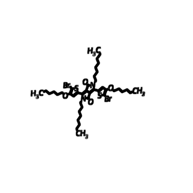 CCCCCCCCN1C(=O)C2=C(c3cc(OCCCCCC)c(Br)s3)N(CCCCCCCC)C(=O)C2=C1c1cc(OCCCCCC)c(Br)s1